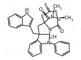 CN1C(=O)C23CC4(Cc5c[nH]c6ccccc56)c5ccccc5N(c5ccccc5)[C@@H]4N2C(=O)[C@@]1(C)SC(=S)S3